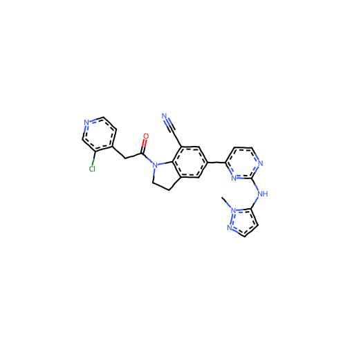 Cn1nccc1Nc1nccc(-c2cc(C#N)c3c(c2)CCN3C(=O)Cc2ccncc2Cl)n1